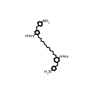 CCCCCCc1cc(Cc2ccc(N)cc2)ccc1CCCCCCCCCCCCc1ccc(Cc2ccc(N)cc2)cc1CCCCCC